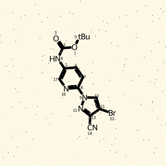 CC(C)(C)OC(=O)Nc1ccc(-n2cc(Br)c(C#N)n2)nc1